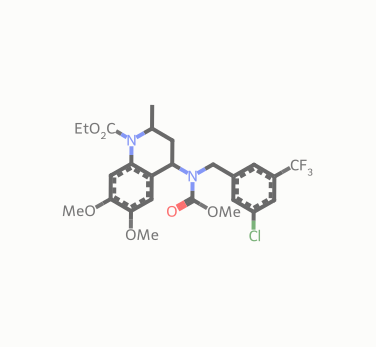 CCOC(=O)N1c2cc(OC)c(OC)cc2C(N(Cc2cc(Cl)cc(C(F)(F)F)c2)C(=O)OC)CC1C